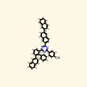 N#Cc1ccc(-c2nc(-c3ccc4cc(-c5ccc6ccccc6c5)ccc4c3)nc(-c3cccc(-c4ccc5ccccc5c4)c3-c3ccccc3)n2)cc1